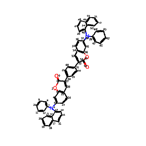 O=c1oc2cc(N(c3ccccc3)c3cccc4ccccc34)ccc2cc1-c1ccc(-c2cc3ccc(N(c4ccccc4)c4cccc5ccccc45)cc3oc2=O)cc1